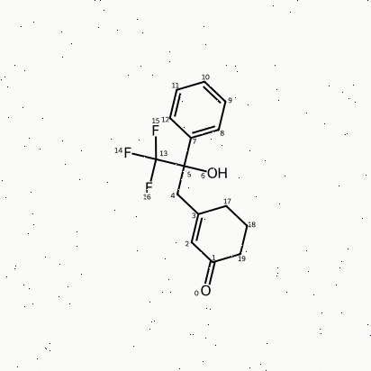 O=C1C=C(CC(O)(c2ccccc2)C(F)(F)F)CCC1